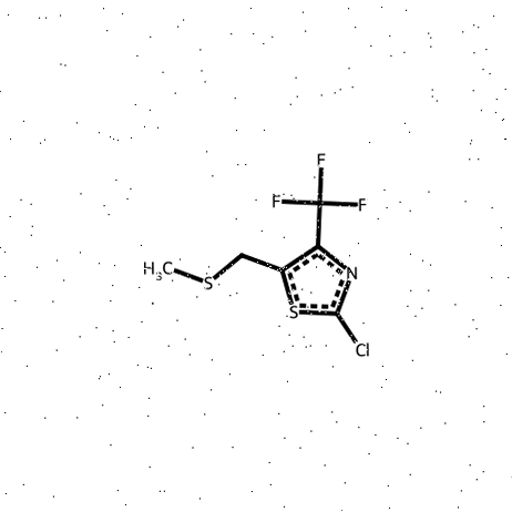 CSCc1sc(Cl)nc1C(F)(F)F